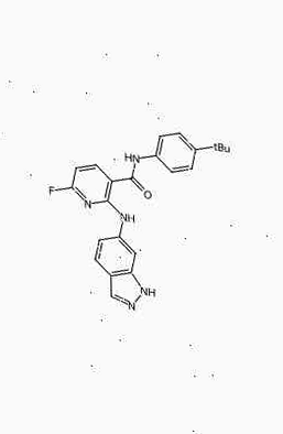 CC(C)(C)c1ccc(NC(=O)c2ccc(F)nc2Nc2ccc3cn[nH]c3c2)cc1